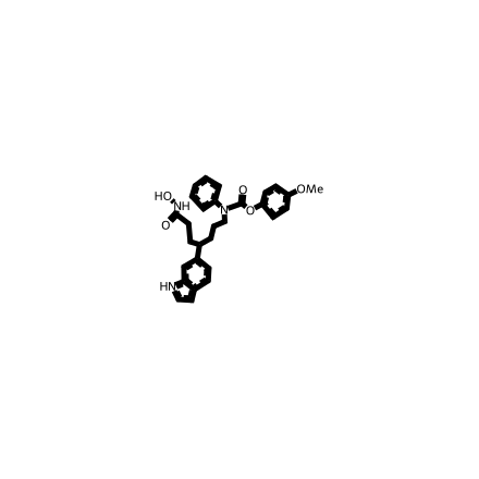 COc1ccc(OC(=O)N(CCCC(CCC(=O)NO)c2ccc3cc[nH]c3c2)c2ccccc2)cc1